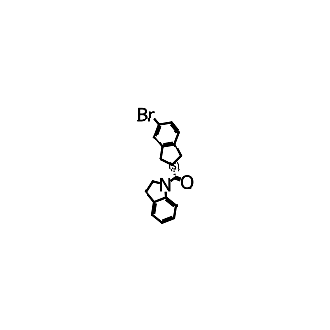 O=C([C@H]1Cc2ccc(Br)cc2C1)N1CCc2ccccc21